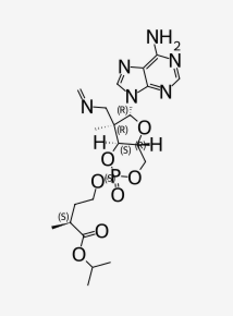 C=NC[C@]1(C)[C@@H]2O[P@@](=O)(OCC[C@H](C)C(=O)OC(C)C)OC[C@H]2O[C@H]1n1cnc2c(N)ncnc21